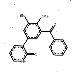 COc1c(C(=O)c2ccccc2)cc(-c2ccc[nH]c2=O)cc1C(C)(C)C